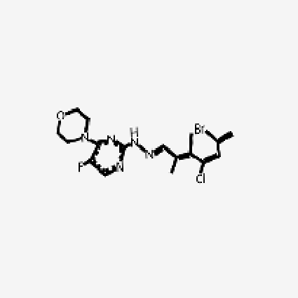 C=C(Br)\C=C(Cl)/C(C)=C(C)/C=N/Nc1ncc(F)c(N2CCOCC2)n1